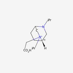 CC(C)N1C[C@@H]2CCC1C[N+]2(CC(=O)O)C(C)C